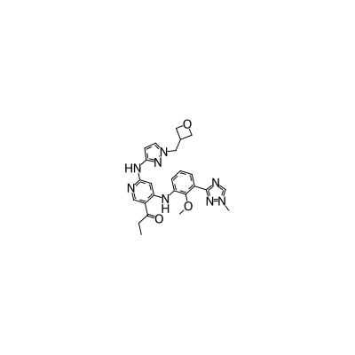 CCC(=O)c1cnc(Nc2ccn(CC3COC3)n2)cc1Nc1cccc(-c2ncn(C)n2)c1OC